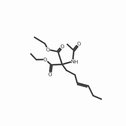 CCC=CCCC(NC(C)=O)(C(=O)OCC)C(=O)OCC